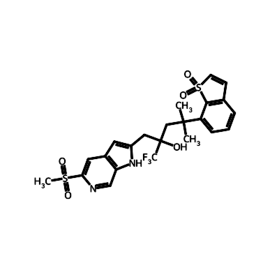 CC(C)(CC(O)(Cc1cc2cc(S(C)(=O)=O)ncc2[nH]1)C(F)(F)F)c1cccc2c1S(=O)(=O)C=C2